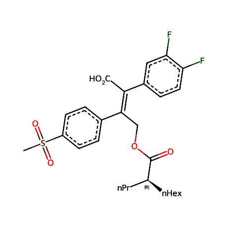 CCCCCC[C@@H](CCC)C(=O)OCC(=C(C(=O)O)c1ccc(F)c(F)c1)c1ccc(S(C)(=O)=O)cc1